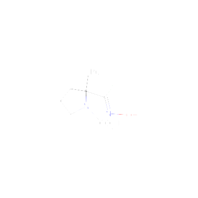 CC(C)(C)C1(C(Cl)=NO)CCCN1C(=O)O